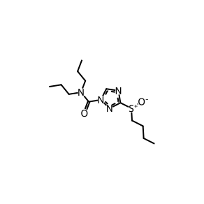 CCCC[S+]([O-])c1ncn(C(=O)N(CCC)CCC)n1